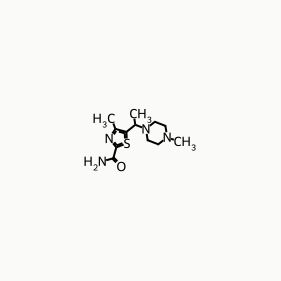 Cc1nc(C(N)=O)sc1C(C)N1CCN(C)CC1